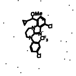 COC(c1ccc(Cl)c2nc3n(c12)CCCN3c1ccc(Cl)cc1C(F)(F)F)C1CC1